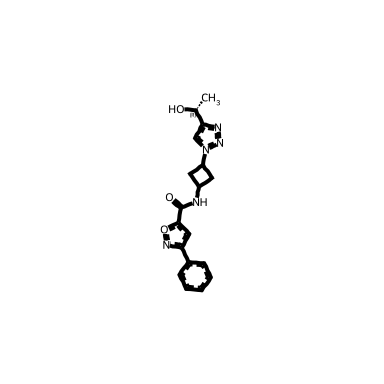 C[C@@H](O)c1cn(C2CC(NC(=O)c3cc(-c4ccccc4)no3)C2)nn1